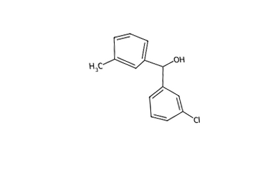 Cc1cccc(C(O)c2cccc(Cl)c2)c1